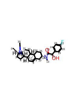 C[C@H]1[C@H]2CC[C@H]3[C@@H]4CC=C5C[C@@H](N(C)C(=O)C(O)c6ccc(F)cc6)CC[C@]5(C)[C@H]4CC[C@]23CN1C